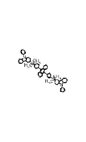 C[Si](C)(c1ccc(-c2c3ccccc3c(-c3ccc([Si](C)(C)c4ccc5c(c4)c4ccccc4n5-c4ccccc4)cc3)c3ccccc23)cc1)c1ccc2c(c1)c1ccccc1n2-c1ccccc1